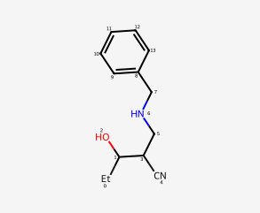 CCC(O)C(C#N)CNCc1ccccc1